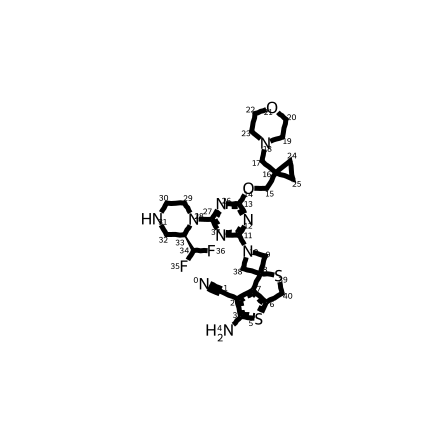 N#Cc1c(N)sc2c1C1(CN(c3nc(OCC4(CN5CCOCC5)CC4)nc(N4CCNC[C@@H]4C(F)F)n3)C1)SC2